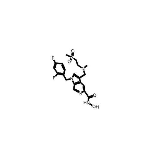 CN(CCS(C)(=O)=O)Cc1cn(Cc2ccc(F)cc2F)c2cnc(C(=O)NO)cc12